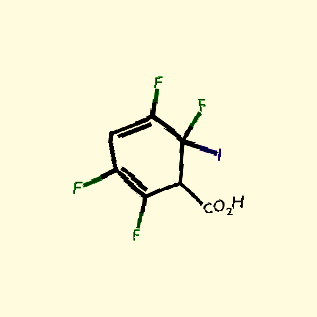 O=C(O)C1C(F)=C(F)C=C(F)C1(F)I